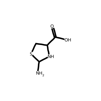 NC1NC(C(=O)O)CS1